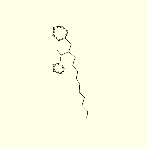 CCCCCCCCCCCCCCCCCCCC(Cc1ccccc1)C(CC)n1ccnc1